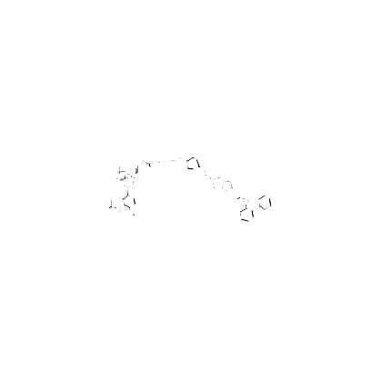 CN(CCNCC(O[Si](C)(C)C(C)(C)C)c1ccc(O)c2c1OCC(=O)N2)C(=O)CCOCCc1ccc(CCN2CC3CC(OC(=O)Nc4ccccc4-c4ccccc4)CC3C2)cc1